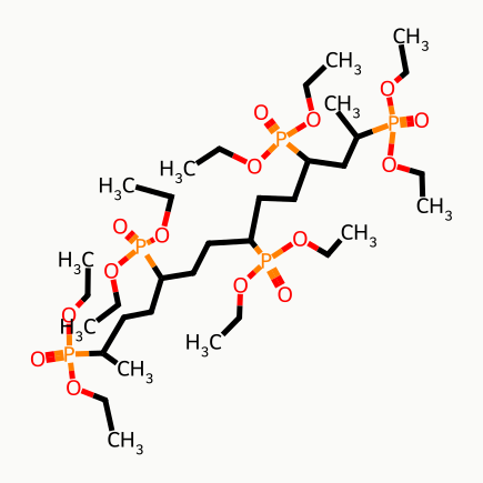 CCOP(=O)(OCC)C(C)CCC(CCC(CCC(CC(C)P(=O)(OCC)OCC)P(=O)(OCC)OCC)P(=O)(OCC)OCC)P(=O)(OCC)OCC